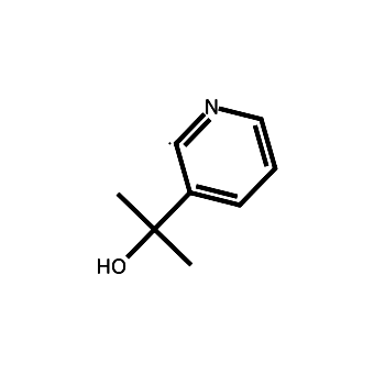 CC(C)(O)c1[c]nccc1